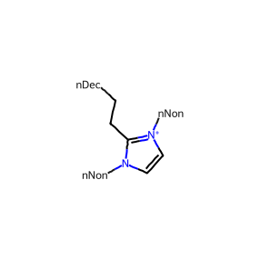 CCCCCCCCCCCCc1n(CCCCCCCCC)cc[n+]1CCCCCCCCC